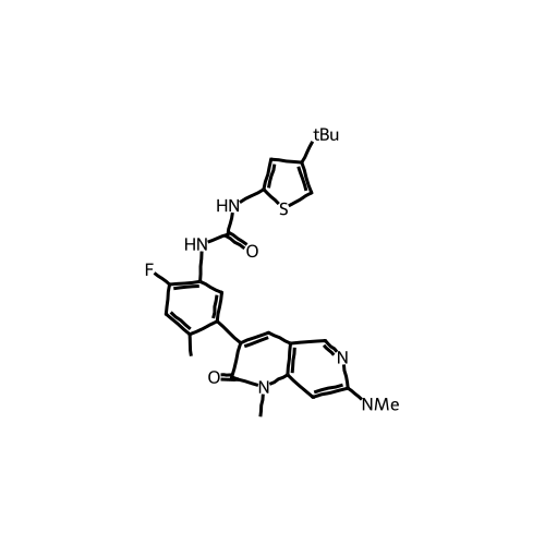 CNc1cc2c(cn1)cc(-c1cc(NC(=O)Nc3cc(C(C)(C)C)cs3)c(F)cc1C)c(=O)n2C